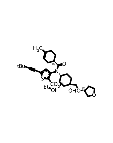 CC1=CC[C@H](C(=O)N(c2cc(C#CC(C)(C)C)sc2C(=O)O)[C@H]2CC[C@](O)(CO[C@H]3CCOC3)CC2)CC1.CCO